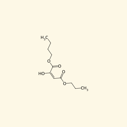 CCCCOC(=O)/C(O)=C\C(=O)OCCC